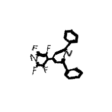 Fc1nc(F)c(F)c(-c2cc(-c3ccccc3)nc(-c3ccccc3)c2)c1F